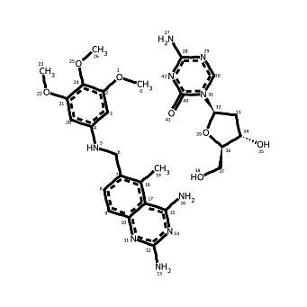 COc1cc(NCc2ccc3nc(N)nc(N)c3c2C)cc(OC)c1OC.Nc1ncn([C@H]2C[C@H](O)[C@@H](CO)O2)c(=O)n1